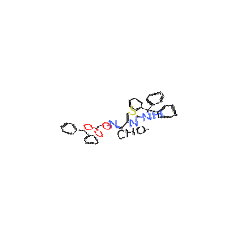 O=[C]/C(=N\OCC(=O)OC(c1ccccc1)c1ccccc1)c1csc(NC(c2ccccc2)(c2ccccc2)c2ccccc2)n1